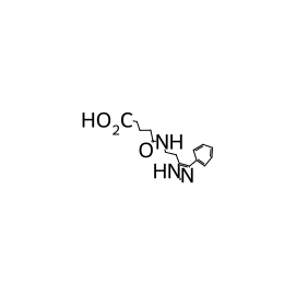 O=C(O)CCCC(=O)NCCc1[nH]cnc1-c1ccccc1